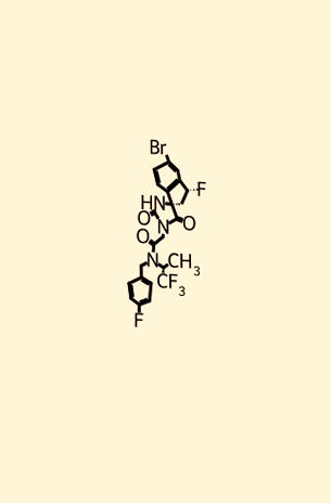 C[C@H](N(Cc1ccc(F)cc1)C(=O)CN1C(=O)N[C@]2(C[C@@H](F)c3cc(Br)ccc32)C1=O)C(F)(F)F